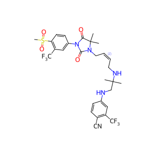 CC(C)(CNc1ccc(C#N)c(C(F)(F)F)c1)NC/C=C\CN1C(=O)N(c2ccc(S(C)(=O)=O)c(C(F)(F)F)c2)C(=O)C1(C)C